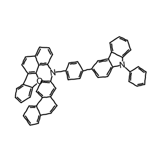 c1ccc(-n2c3ccccc3c3cc(-c4ccc(N(c5ccc6c(ccc7ccccc76)c5)c5cccc6ccc7c8ccccc8oc7c56)cc4)ccc32)cc1